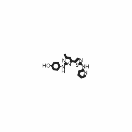 Cc1cc(-c2cnc(Nc3ccccn3)s2)nc(N[C@H]2CC[C@H](O)CC2)n1